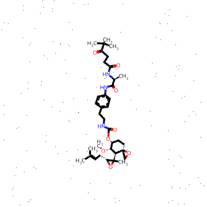 CO[C@H]1[C@H](C2(C)O[C@@H]2CC=C(C)C)[C@]2(CC[C@H]1OC(=O)NCCc1ccc(NC(=O)[C@H](C)NC(=O)CCC(=O)C(C)(C)C)cc1)CO2